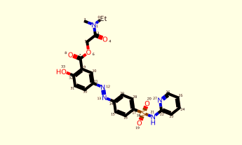 CCN(C)C(=O)COC(=O)c1cc(/N=N/c2ccc(S(=O)(=O)Nc3ccccn3)cc2)ccc1O